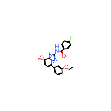 CCOc1cccc(-c2ccc(OC)c3nc(NC(=O)c4ccc(F)cc4)nn23)c1